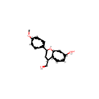 COc1ccc(C2=CC(C=O)c3ccc(O)cc3O2)cc1